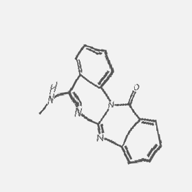 CNc1nc2nc3ccccc3c(=O)n2c2ccccc12